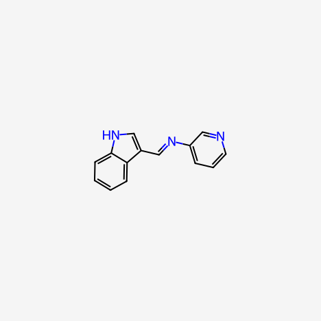 C(=Nc1cccnc1)c1c[nH]c2ccccc12